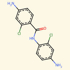 Nc1ccc(NC(=O)c2ccc(N)cc2Cl)c(Cl)c1